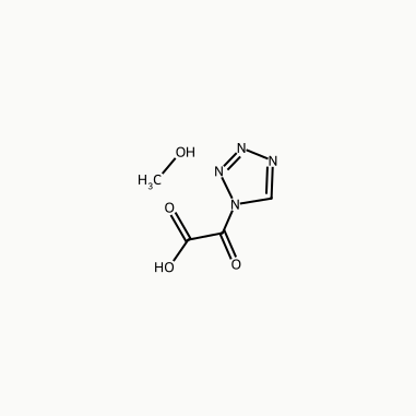 CO.O=C(O)C(=O)n1cnnn1